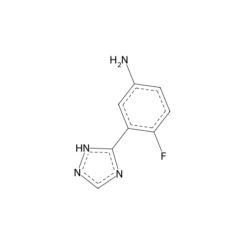 Nc1ccc(F)c(-c2ncn[nH]2)c1